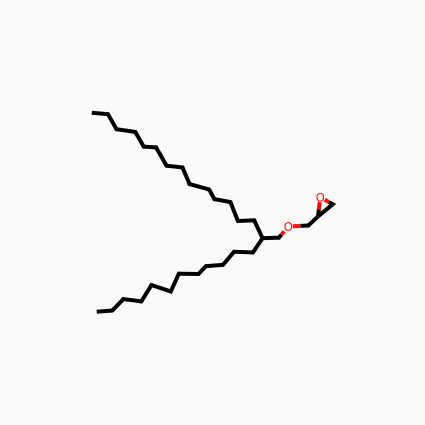 CCCCCCCCCCCCCCC(CCCCCCCCCCCC)COCC1CO1